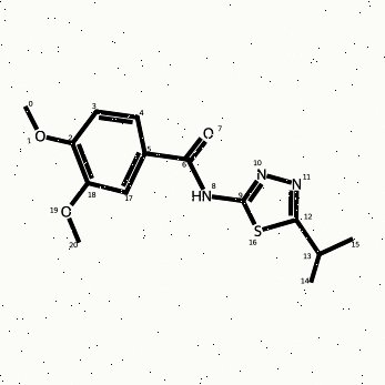 COc1ccc(C(=O)Nc2nnc(C(C)C)s2)cc1OC